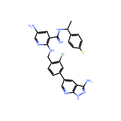 CC(NC(=N)c1cc(N)cnc1NCc1ccc(-c2cnc3[nH]nc(N)c3c2)cc1Cl)c1ccc(F)cc1